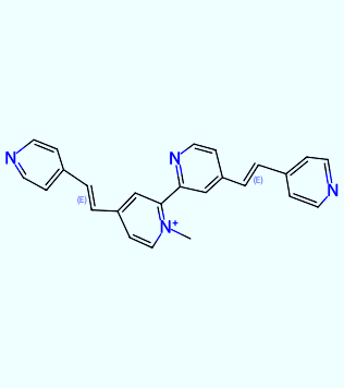 C[n+]1ccc(/C=C/c2ccncc2)cc1-c1cc(/C=C/c2ccncc2)ccn1